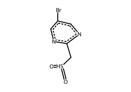 O=[SH](=O)Cc1ncc(Br)cn1